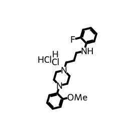 COc1ccccc1N1CCN(CCCNc2ccccc2F)CC1.Cl.Cl